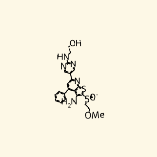 COCC[S+]([O-])c1sc2nc(-c3cnc(NCCO)nc3)cc(-c3ccccc3)c2c1N